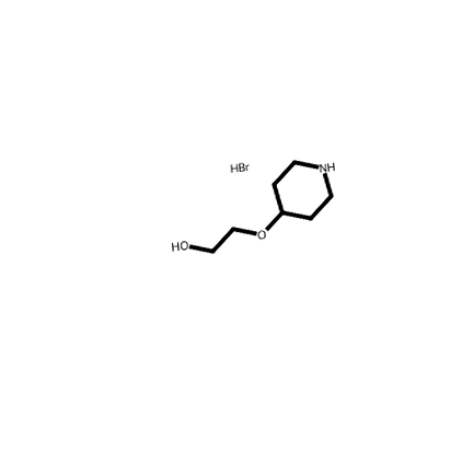 Br.OCCOC1CCNCC1